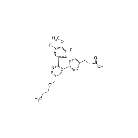 CCCOCc1cnc(-c2cc(F)c(OC)c(F)c2)c(-c2ccc(CCC(=O)O)cc2)c1